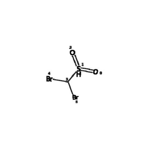 O=[SH](=O)C(Br)Br